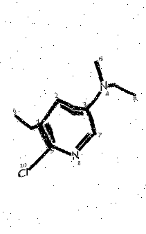 Cc1cc(N(C)C)cnc1Cl